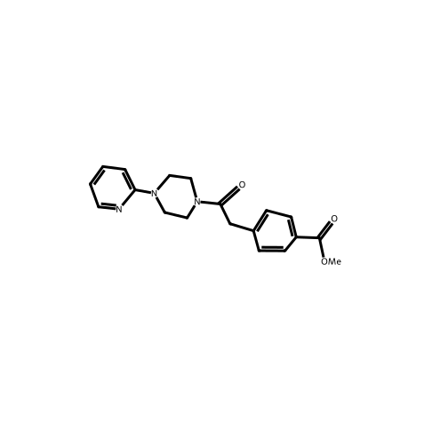 COC(=O)c1ccc(CC(=O)N2CCN(c3ccccn3)CC2)cc1